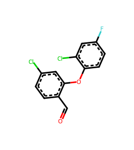 O=Cc1ccc(Cl)cc1Oc1ccc(F)cc1Cl